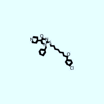 O=C(CCCCCCCSc1nc(=O)c(-c2ccncc2)cn1Cc1ccccc1)c1ccc(Cl)cc1